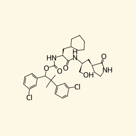 CC(C)(c1cccc(Cl)c1)C(OC(=O)N[C@@H](CC1CCCCC1)C(=O)N[C@H](CO)C[C@@H]1CCNC1=O)c1cccc(Cl)c1